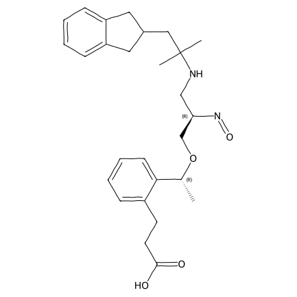 C[C@@H](OC[C@@H](CNC(C)(C)CC1Cc2ccccc2C1)N=O)c1ccccc1CCC(=O)O